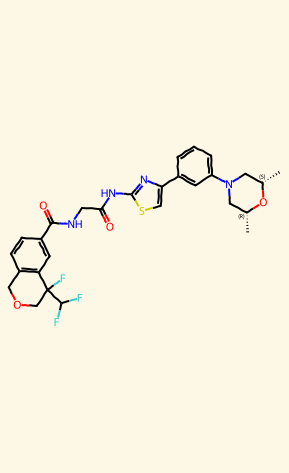 C[C@@H]1CN(c2cccc(-c3csc(NC(=O)CNC(=O)c4ccc5c(c4)C(F)(C(F)F)COC5)n3)c2)C[C@H](C)O1